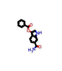 NC(=O)c1ccc2c(OC(=O)c3ccccc3)c[nH]c2c1